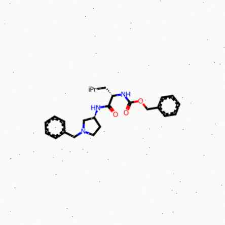 CC(C)C[C@H](NC(=O)OCc1ccccc1)C(=O)N[C@H]1CCN(Cc2ccccc2)C1